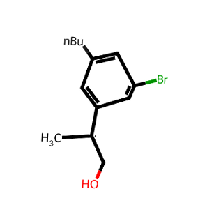 CCCCc1cc(Br)cc([C](C)CO)c1